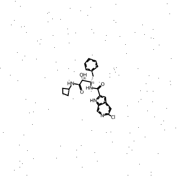 O=C(N[C@@H](Cc1ccccc1)[C@@H](O)C(=O)NC1CCC1)c1cc2cc(Cl)ncc2[nH]1